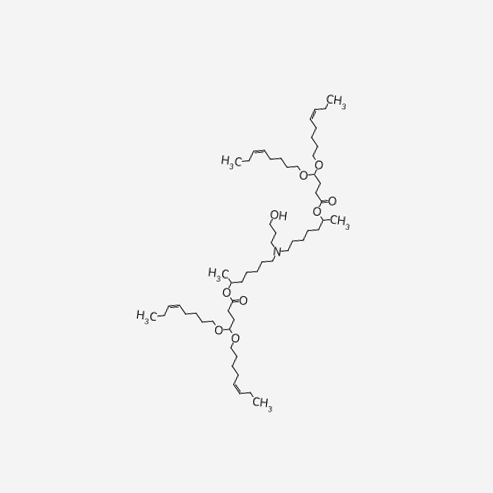 CC/C=C\CCCCOC(CCC(=O)OC(C)CCCCCN(CCCO)CCCCCC(C)OC(=O)CCC(OCCCC/C=C\CC)OCCCC/C=C\CC)OCCCC/C=C\CC